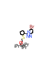 CC(C)[Si](OCCSc1ccccc1-c1nnc2ccc(Br)cn12)(C(C)C)C(C)C